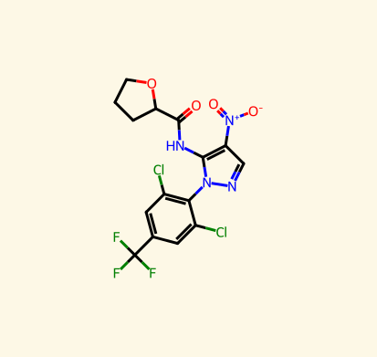 O=C(Nc1c([N+](=O)[O-])cnn1-c1c(Cl)cc(C(F)(F)F)cc1Cl)C1CCCO1